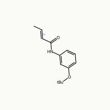 C/C=C/C(=O)Nc1cccc(OC(C)(C)C)c1